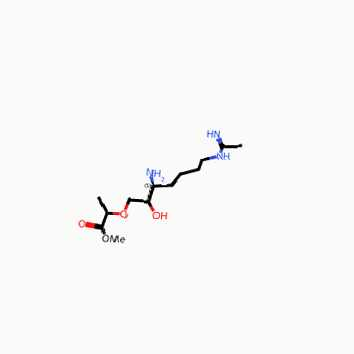 COC(=O)C(C)OCC(O)[C@@H](N)CCCCNC(C)=N